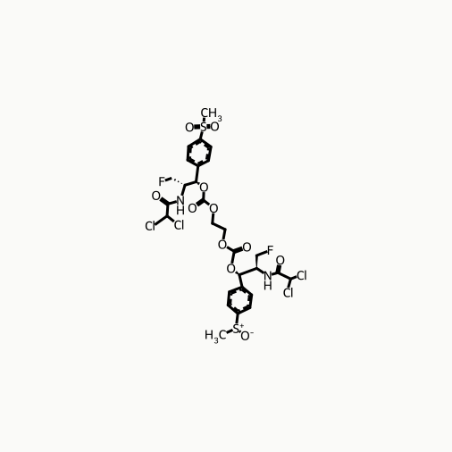 C[S+]([O-])c1ccc([C@@H](OC(=O)OCCOC(=O)O[C@H](c2ccc(S(C)(=O)=O)cc2)[C@@H](CF)NC(=O)C(Cl)Cl)[C@@H](CF)NC(=O)C(Cl)Cl)cc1